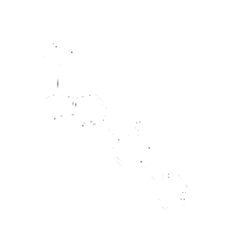 CC(=O)N1CC(c2cn(C)c3cc(-n4ccc(-c5ccc(C(F)(F)F)cc5)cc4=O)ccc23)C1